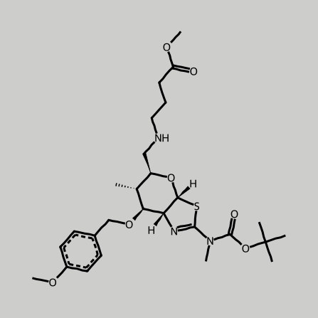 COC(=O)CCCNC[C@H]1O[C@@H]2SC(N(C)C(=O)OC(C)(C)C)=N[C@@H]2[C@@H](OCc2ccc(OC)cc2)[C@@H]1C